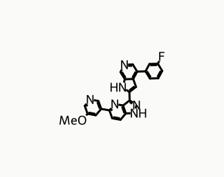 COc1cncc(-c2ccc3[nH]nc(-c4cc5c(-c6cccc(F)c6)cncc5[nH]4)c3n2)c1